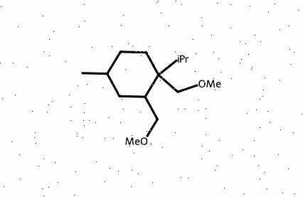 COCC1CC(C)CCC1(COC)C(C)C